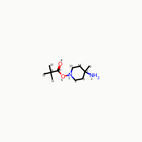 CC1(N)CCN(OC(=O)C(C)(C)C)CC1